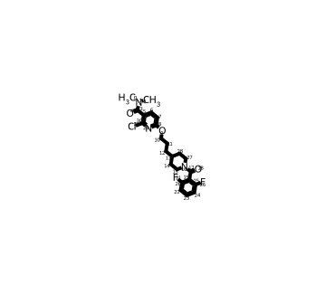 CN(C)C(=O)c1ccc(OCCCC2CCN(C(=O)c3c(F)cccc3F)CC2)nc1Cl